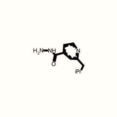 CC(C)Cc1cc(C(=O)NN)ccn1